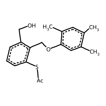 CC(=O)Sc1cccc(CO)c1COc1cc(C)c(C)cc1C